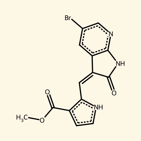 COC(=O)c1cc[nH]c1/C=C1\C(=O)Nc2ncc(Br)cc21